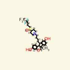 CC1(c2ccc(O)cc2)COc2cc(O)ccc2C1CCCCCN1CCC([S+]([O-])CCCC(F)(F)C(F)(F)F)CC1